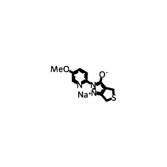 COc1ccc(-n2nc3c(c2[O-])CSC3)nc1.[Na+]